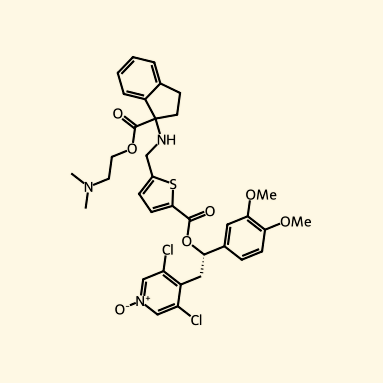 COc1ccc([C@H](Cc2c(Cl)c[n+]([O-])cc2Cl)OC(=O)c2ccc(CNC3(C(=O)OCCN(C)C)CCc4ccccc43)s2)cc1OC